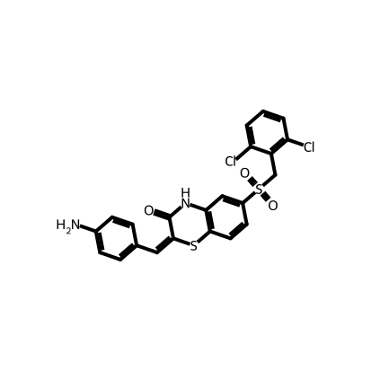 Nc1ccc(/C=C2/Sc3ccc(S(=O)(=O)Cc4c(Cl)cccc4Cl)cc3NC2=O)cc1